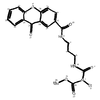 CCN(C(=O)NCCCNC(=O)c1ccc2oc3ccccc3c(=O)c2c1)C(=O)OC(C)(C)C